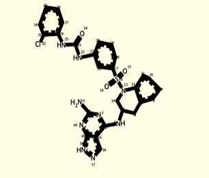 Nc1nc(NC2Cc3ccccc3N(S(=O)(=O)c3cccc(NC(=O)Nc4ccccc4Cl)c3)C2)c2cn[nH]c2n1